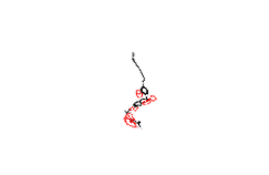 C=C(C)C(=O)OCC(C)(C)COc1ccc2cc(-c3ccc(CCCCC)cc3OC)c(=O)oc2c1